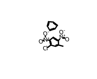 Cc1cc(Cl)c([N+](=O)[O-])cc1[N+](=O)[O-].c1ccccc1